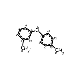 [CH2]c1cccc(Oc2ccc(C)cc2)c1